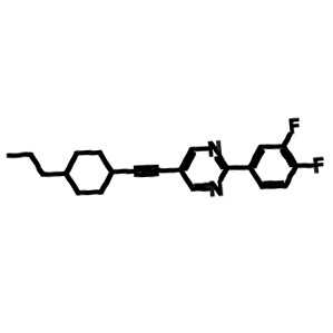 CCCC1CCC(C#Cc2cnc(-c3ccc(F)c(F)c3)nc2)CC1